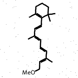 [CH2]OCC=C(C)C=CC=C(C)C=CC1=C(C)CCCC1(C)C